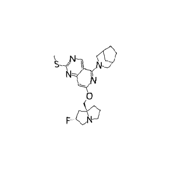 CSc1ncc2c(N3CC4CCC(C4)C3)nc(OC[C@@]34CCCN3C[C@H](F)C4)cc2n1